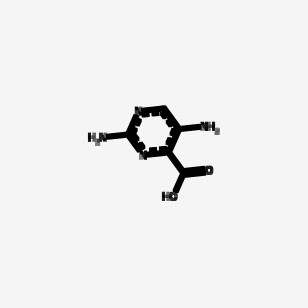 Nc1ncc(N)c(C(=O)O)n1